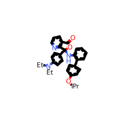 CCN(CC)c1ccc(C2(Nc3ccccc3-c3ccc(OC(C)C)cc3)OC(=O)c3cccnc32)cc1